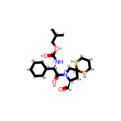 CC(C)COC(=O)N[C@H](C(=O)N1CC2(C[C@H]1C=O)SCCCS2)C1CCCCC1